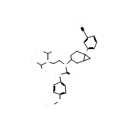 COc1ccc(NC(=O)N(CCN(C(C)C)C(C)C)C2CC[C@]3(c4cccc(C#N)c4)CC3C2)cc1